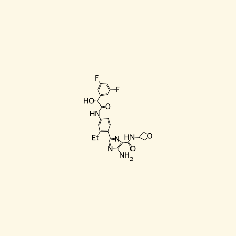 CCc1cc(NC(=O)[C@H](O)c2cc(F)cc(F)c2)ccc1-c1cnc(N)c(C(=O)NC2COC2)n1